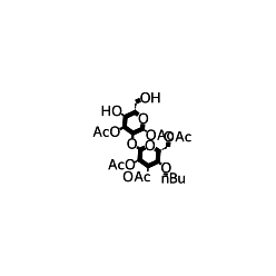 CCCCO[C@H]1[C@H](OC(C)=O)[C@H](OC(C)=O)[C@@H](O[C@@H]2[C@@H](OC(C)=O)O[C@@H](CO)[C@@H](O)[C@@H]2OC(C)=O)O[C@@H]1COC(C)=O